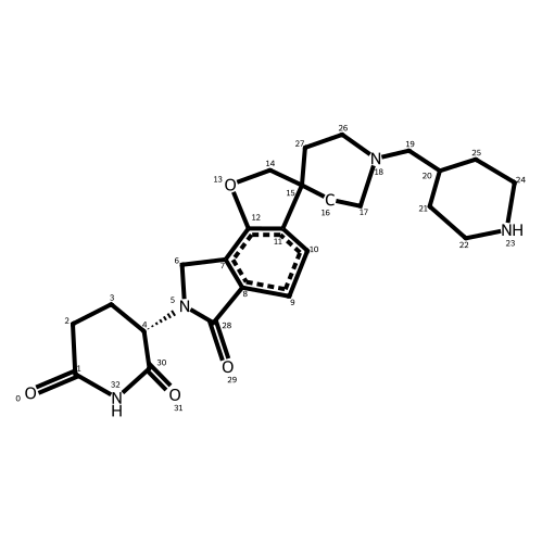 O=C1CC[C@H](N2Cc3c(ccc4c3OCC43CCN(CC4CCNCC4)CC3)C2=O)C(=O)N1